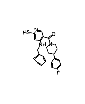 O=C(c1cnc(S)cc1NCc1ccccc1)N1CCC(c2ccc(F)cc2)CC1